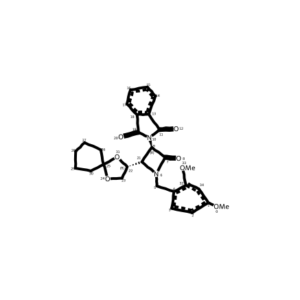 COc1ccc(CN2C(=O)[C@H](N3C(=O)c4ccccc4C3=O)C2[C@@H]2COC3(CCCCC3)O2)c(OC)c1